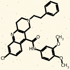 COc1ccc(NC(=O)c2c3c(nc4cc(Cl)ccc24)CCN(CCc2ccccc2)C3)cc1OC